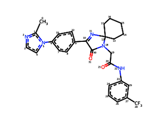 Cc1nccn1-c1ccc(C2=NC3(CCCCC3)N(CC(=O)Nc3cccc(C(F)(F)F)c3)C2=O)cc1